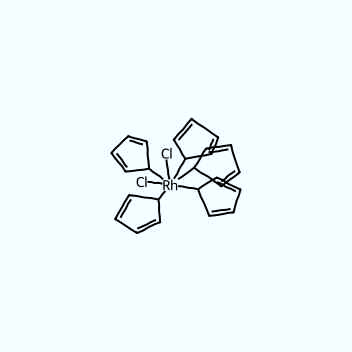 [Cl][Rh]([Cl])([CH]1C=CC=C1)([CH]1C=CC=C1)([CH]1C=CC=C1)([CH]1C=CC=C1)[CH]1C=CC=C1